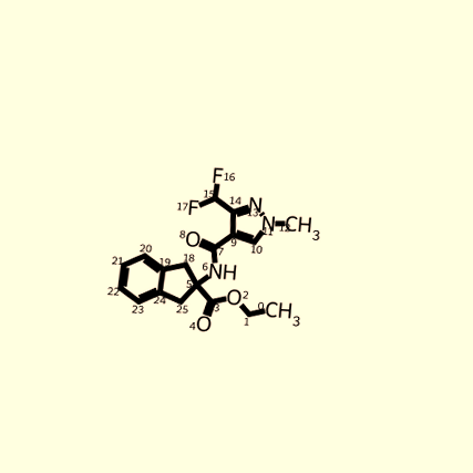 CCOC(=O)C1(NC(=O)c2cn(C)nc2C(F)F)Cc2ccccc2C1